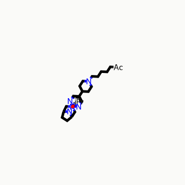 CC(=O)CCCCCN1CCC(c2cnc(N3C4CCC3CN(C(C)C)C4)nc2)CC1